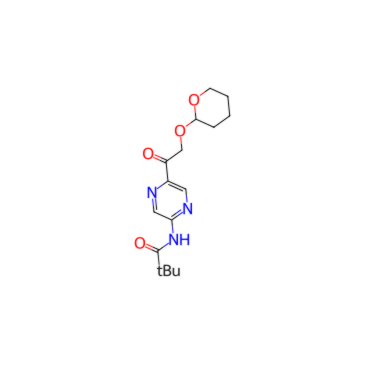 CC(C)(C)C(=O)Nc1cnc(C(=O)COC2CCCCO2)cn1